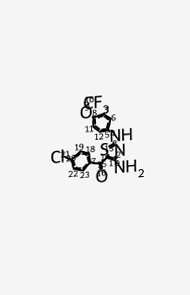 Nc1nc(Nc2ccc(OC(F)(F)F)cc2)sc1C(=O)c1ccc(Cl)cc1